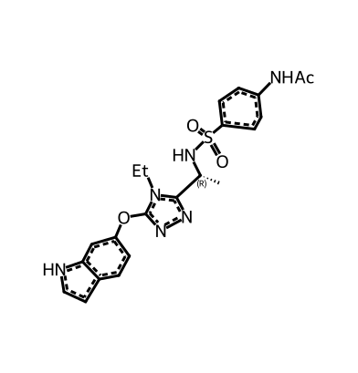 CCn1c(Oc2ccc3cc[nH]c3c2)nnc1[C@@H](C)NS(=O)(=O)c1ccc(NC(C)=O)cc1